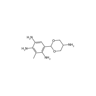 Cc1c(N)c(N)cc(C2OCC(N)CO2)c1N